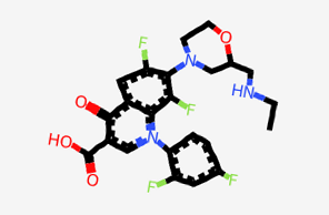 CCNCC1CN(c2c(F)cc3c(=O)c(C(=O)O)cn(-c4ccc(F)cc4F)c3c2F)CCO1